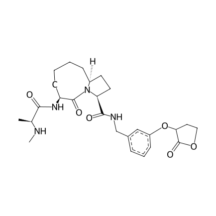 CN[C@@H](C)C(=O)N[C@H]1CCCC[C@H]2CC[C@@H](C(=O)NCc3cccc(OC4CCOC4=O)c3)N2C1=O